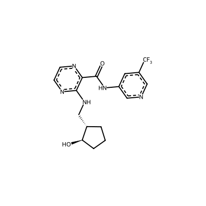 O=C(Nc1cncc(C(F)(F)F)c1)c1nccnc1NC[C@@H]1CCC[C@H]1O